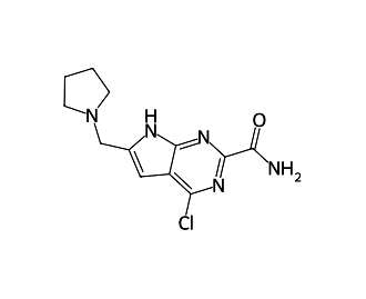 NC(=O)c1nc(Cl)c2cc(CN3CCCC3)[nH]c2n1